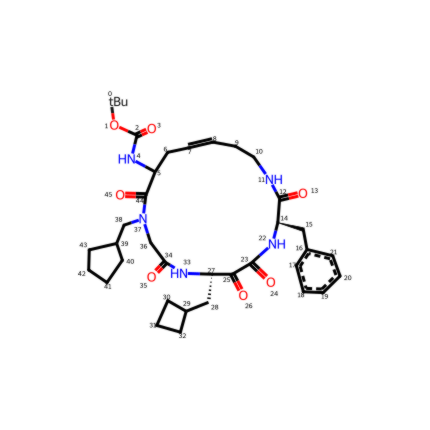 CC(C)(C)OC(=O)NC1C/C=C\CCNC(=O)[C@@H](Cc2ccccc2)NC(=O)C(=O)[C@H](CC2CCC2)NC(=O)CN(CC2CCCC2)C1=O